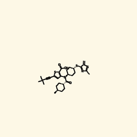 Cc1n[nH]c(S[C@H]2CC[C@H](N(c3cc(C#CC(C)(C)C)sc3C(=O)O)C(=O)[C@H]3CC[C@H](C)CC3)CC2)n1